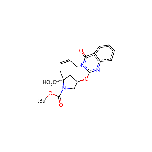 C=CCn1c(O[C@H]2CN(C(=O)OC(C)(C)C)[C@](C)(C(=O)O)C2)nc2ccccc2c1=O